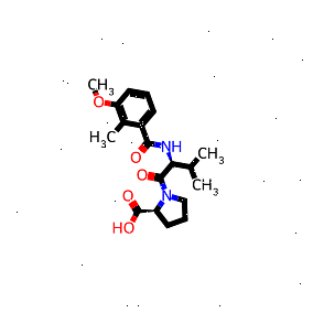 COc1cccc(C(=O)N[C@H](C(=O)N2CCC[C@H]2C(=O)O)C(C)C)c1C